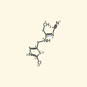 CC/C(=N\C#N)NCc1cnc(Cl)s1